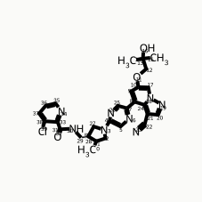 CC1CN(c2cnc(-c3cc(OCC(C)(C)O)cn4ncc(C#N)c34)cn2)C[C@H]1CNC(=O)c1ncccc1Cl